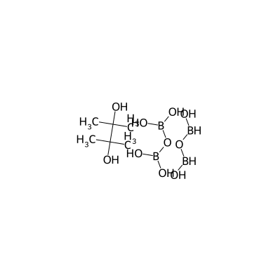 CC(C)(O)C(C)(C)O.OB(O)OB(O)O.OBOBO